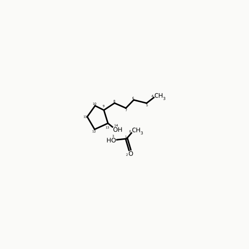 CC(=O)O.CCCCCC1CCCC1O